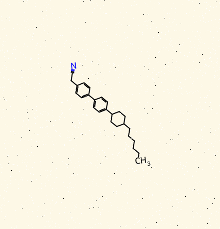 CCCCCCC1CCC(c2ccc(-c3ccc(CC#N)cc3)cc2)CC1